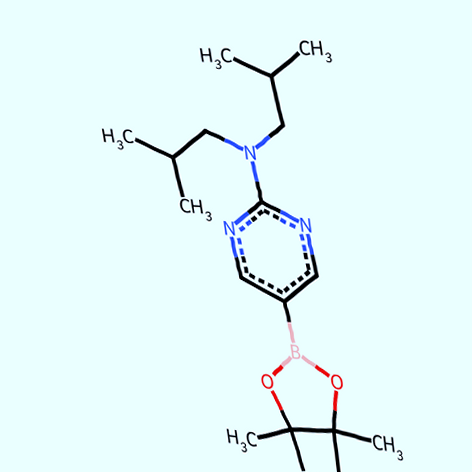 CC(C)CN(CC(C)C)c1ncc(B2OC(C)(C)C(C)(C)O2)cn1